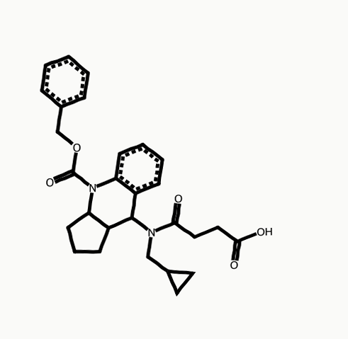 O=C(O)CCC(=O)N(CC1CC1)C1c2ccccc2N(C(=O)OCc2ccccc2)C2CCCC12